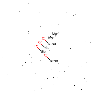 CC(C)(C)[O-].CC(C)(C)[O-].CCCCC[O-].CCCCC[O-].[Mg+2].[Mg+2]